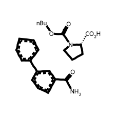 CCCCOC(=O)N1CCC[C@H]1C(=O)O.NC(=O)c1cccc(-c2ccccc2)c1